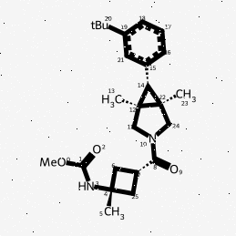 COC(=O)N[C@]1(C)C[C@H](C(=O)N2C[C@@]3(C)[C@H](c4cccc(C(C)(C)C)c4)[C@@]3(C)C2)C1